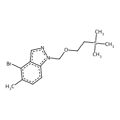 Cc1ccc2c(cnn2COCCS(C)(C)C)c1Br